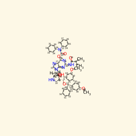 COc1ccc(C(OC[C@@]23CN[C@@H]([C@H](n4cnc5c(OC(=O)N(c6ccccc6)c6ccccc6)nc(NC(=O)C(C)C)nc54)O2)[C@@H]3O)(c2ccccc2)c2ccc(OC)cc2)cc1